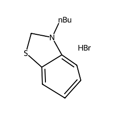 Br.CCCCN1CSc2ccccc21